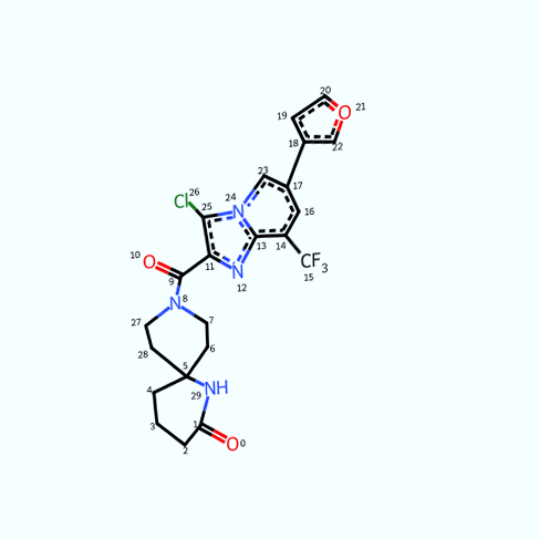 O=C1CCCC2(CCN(C(=O)c3nc4c(C(F)(F)F)cc(-c5ccoc5)cn4c3Cl)CC2)N1